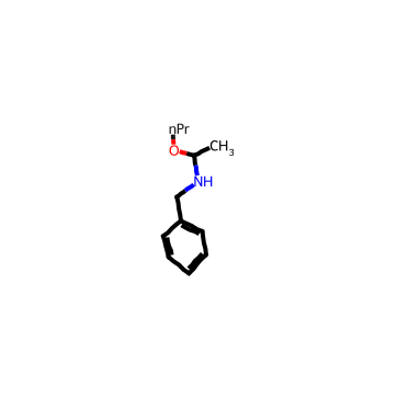 CCCOC(C)NCc1ccccc1